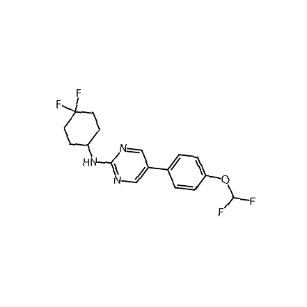 FC(F)Oc1ccc(-c2cnc(NC3CCC(F)(F)CC3)nc2)cc1